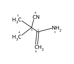 C=C(N)C(C)(C)C#N